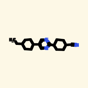 CCC1CCC(c2cnc(C3CCC(C#N)CC3)nc2)CC1